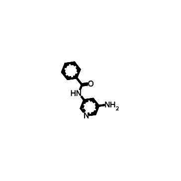 Nc1cncc(NC(=O)c2ccccc2)c1